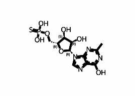 Cc1nc(O)c2ncn([C@@H]3O[C@H](COP(O)(O)=S)[C@@H](O)[C@H]3O)c2n1